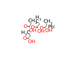 CCC(=O)O.CCC(=O)O.CCC(=O)O.CCC(=O)O.[Pb]